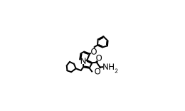 Cc1c(C(=O)C(N)=O)c2c(OCc3ccccc3)cccn2c1CC1CCCCC1